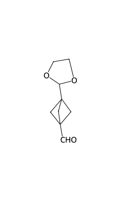 O=CC12CC(C3OCCO3)(C1)C2